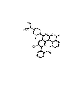 C=Cc1ccccc1-c1nc2c(cc1Cl)c(N1CCN(C(O)C=C)C[C@@H]1C)nc(=O)n2-c1c(C)ccnc1C(C)C